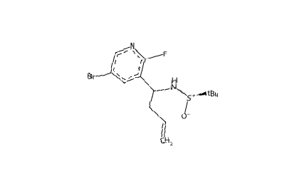 C=CCC(N[S@+]([O-])C(C)(C)C)c1cc(Br)cnc1F